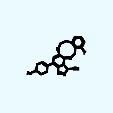 CC(=O)N1CC=C(C2=C3N=NC(C(C)(C)C)N3C3=NCc4c(F)cccc4CCOC3=C2)CC1